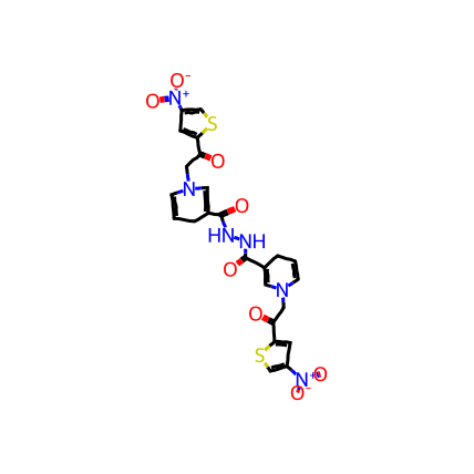 O=C(NNC(=O)C1=CN(CC(=O)c2cc([N+](=O)[O-])cs2)C=CC1)C1=CN(CC(=O)c2cc([N+](=O)[O-])cs2)C=CC1